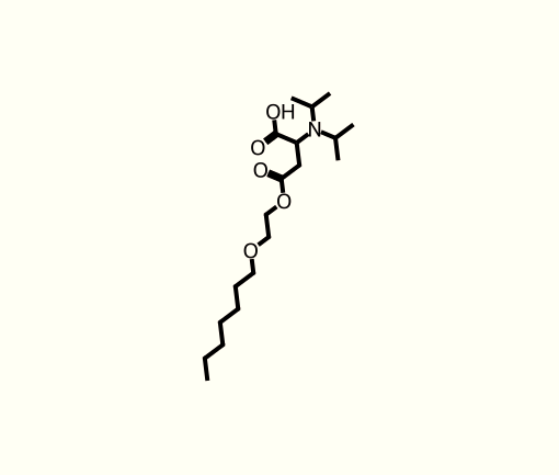 CCCCCCCOCCOC(=O)CC(C(=O)O)N(C(C)C)C(C)C